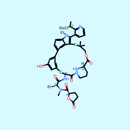 CCn1c(-c2cccnc2[C@H](C)OC)c2c3cc(ccc31)-c1cc(O)cc(c1)C[C@H](NC(=O)[C@H](C(C)C)N(C)C(=O)[C@H]1CCC(=O)O1)C(=O)N1CCC[C@H](N1)C(=O)OCC(C)(C)C2